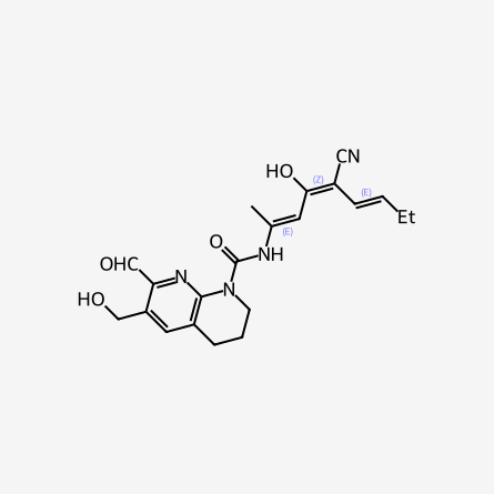 CC/C=C/C(C#N)=C(O)\C=C(/C)NC(=O)N1CCCc2cc(CO)c(C=O)nc21